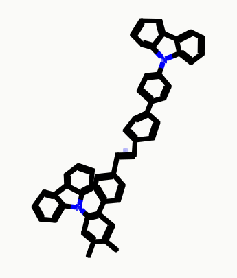 Cc1cc(-c2ccc(/C=C/c3ccc(-c4ccc(-n5c6ccccc6c6ccccc65)cc4)cc3)cc2)c(-n2c3ccccc3c3ccccc32)cc1C